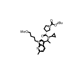 COCCCCn1cc(C(C)N(C(=O)[C@@H]2CCN(C(=O)OC(C)(C)C)C2)C2CC2)c2ccc(C)nc21